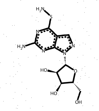 NSc1nc(N)nc2c1cnn2[C@@H]1O[C@H](CO)[C@@H](O)[C@H]1O